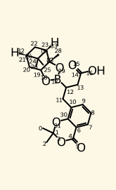 CC1(C)OC(=O)c2cccc(CC(CC(=O)O)B3OC4C[C@@H]5C[C@@H](C5(C)C)[C@]4(C)O3)c2O1